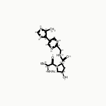 CC(=O)N[C@H](C(=O)N1C[C@H](O)C[C@H]1C(=O)NCc1ncc(-c2scnc2C)cn1)C(C)(C)C